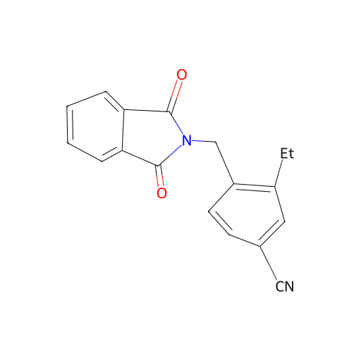 CCc1cc(C#N)ccc1CN1C(=O)c2ccccc2C1=O